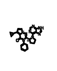 O=c1c2c(C3CC3)ccn2nc([C@@H]2CCCN2c2ncnc3[nH]cnc23)n1-c1ccccc1